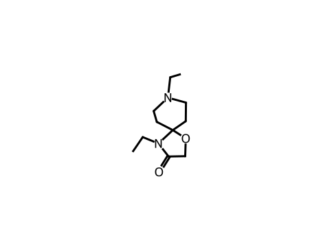 CCN1CCC2(CC1)OCC(=O)N2CC